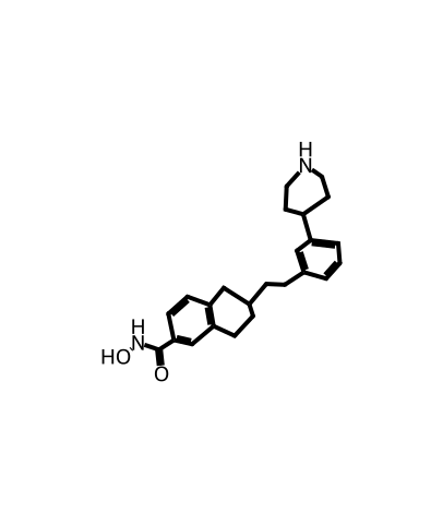 O=C(NO)c1ccc2c(c1)CCC(CCc1cccc(C3CCNCC3)c1)C2